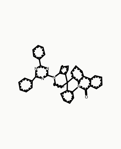 O=c1c2ccccc2c2cccc3c2n1-c1ccccc1C31c2ccccc2N(c2nc(-c3ccccc3)nc(-c3ccccc3)n2)c2ccccc21